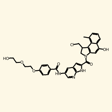 Cc1cccc2c(O)cc3c(c12)C(CCl)CN3C(=O)c1cc2cc(NC(=O)c3ccc(OCCOCCO)cc3)cnc2[nH]1